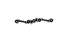 O=C(Oc1ccc(OCCCCCCOC2CCCCO2)cc1)C1CCC(C(=O)Oc2ccc(OCCCCCCOC3CCCCO3)cc2)CC1